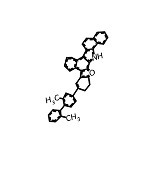 Cc1ccccc1-c1ccc(C2=Cc3c(oc4c5[nH]c6c7ccccc7ccc6c5c5ccccc5c34)CC2)cc1C